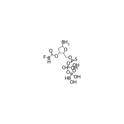 BC1CC(OC(=O)BF)C(COP(O)(=S)OP(=O)(O)OP(=O)(O)BO)O1